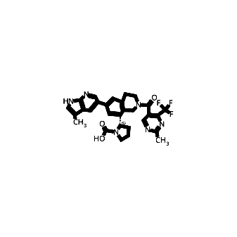 Cc1ncc(C(=O)N2CCc3cc(-c4cnc5[nH]cc(C)c5c4)cc([C@@H]4CCCN4C(=O)O)c3C2)c(C(F)(F)F)n1